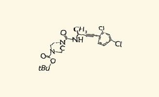 CC(C#Cc1ccc(Cl)cc1Cl)NC(=O)N1CCN(C(=O)OC(C)(C)C)CC1